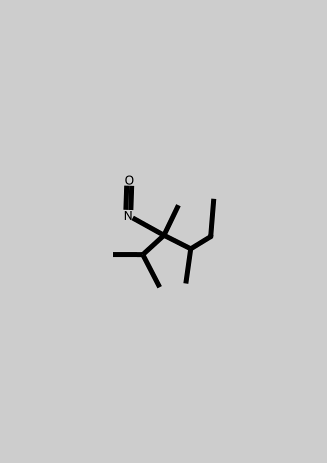 CCC(C)C(C)(N=O)C(C)C